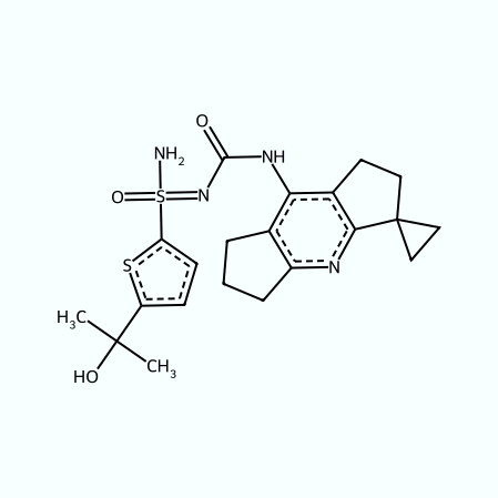 CC(C)(O)c1ccc(S(N)(=O)=NC(=O)Nc2c3c(nc4c2CCC42CC2)CCC3)s1